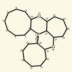 O=P12C3CCCCCCCC3OC3CCCCC(OC4CCCCCCC41)C32